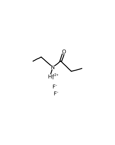 CCC(=O)[N]([Hf+2])CC.[F-].[F-]